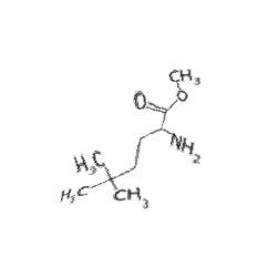 COC(=O)C(N)CCC(C)(C)C